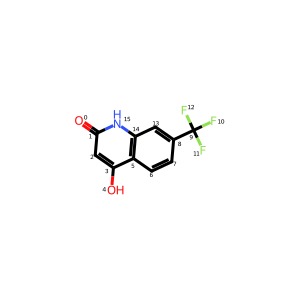 O=c1cc(O)c2ccc(C(F)(F)F)cc2[nH]1